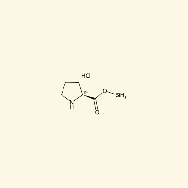 Cl.O=C(O[SiH3])[C@@H]1CCCN1